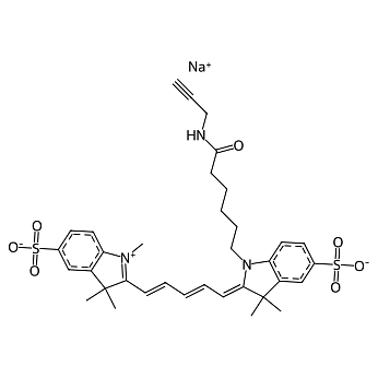 C#CCNC(=O)CCCCCN1C(=CC=CC=CC2=[N+](C)c3ccc(S(=O)(=O)[O-])cc3C2(C)C)C(C)(C)c2cc(S(=O)(=O)[O-])ccc21.[Na+]